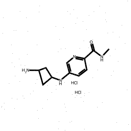 CNC(=O)c1ccc(NC2CC(N)C2)cn1.Cl.Cl